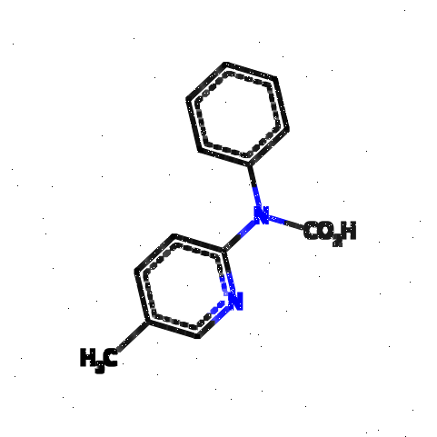 Cc1ccc(N(C(=O)O)c2ccccc2)nc1